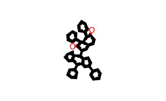 c1ccc(-c2ccc3c(-c4cc5ccc6oc7ccccc7c6c5c5c4oc4ccccc45)c4ccccc4c(-c4ccccc4)c3c2)cc1